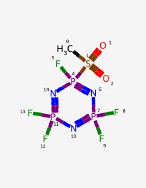 CS(=O)(=O)P1(F)=NP(F)(F)=NP(F)(F)=N1